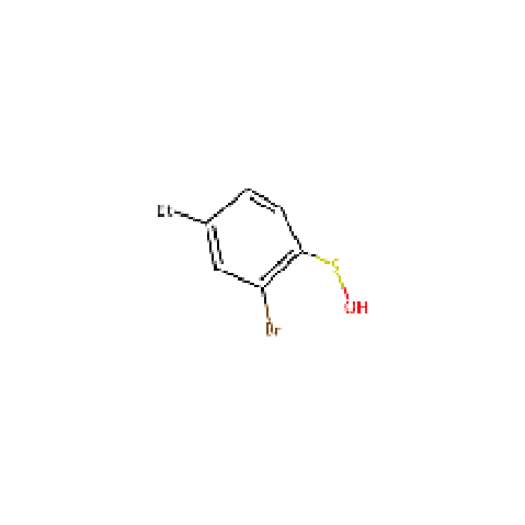 CCc1ccc(SO)c(Br)c1